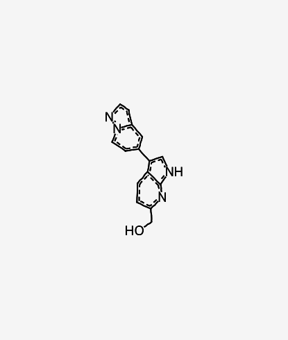 OCc1ccc2c(-c3ccn4nccc4c3)c[nH]c2n1